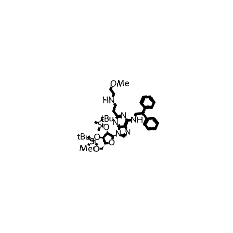 COCCNCCc1nc(NCC(c2ccccc2)c2ccccc2)c2ncn([C@@H]3O[C@H](COC)[C@@H](O[Si](C)(C)C(C)(C)C)[C@@H]3O[Si](C)(C)C(C)(C)C)c2n1